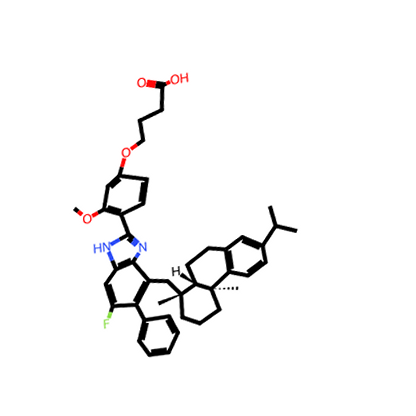 COc1cc(OCCCC(=O)O)ccc1-c1nc2c(C[C@@]3(C)CCC[C@]4(C)c5ccc(C(C)C)cc5CC[C@@H]34)c(-c3ccccc3)c(F)cc2[nH]1